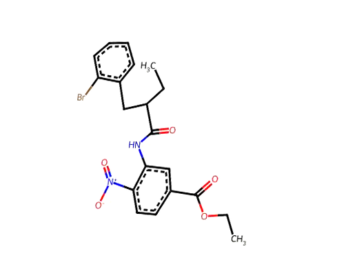 CCOC(=O)c1ccc([N+](=O)[O-])c(NC(=O)C(CC)Cc2ccccc2Br)c1